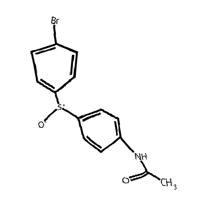 CC(=O)Nc1ccc([S+]([O-])c2ccc(Br)cc2)cc1